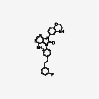 Nc1ncnc2c1n(-c1ccc(CCc3cccc(F)c3)cc1)c(=O)n2-c1ccc2c(c1)NCCO2